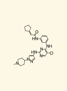 CN1CCC(n2cc(Nc3ncc(Cl)c(Nc4cccc(NC(=O)C=C5CCCC5)c4)n3)cn2)CC1